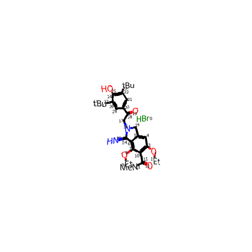 Br.CCOc1cc2c(c(OCC)c1C(=O)NC)C(=N)N(CC(=O)c1cc(C(C)(C)C)c(O)c(C(C)(C)C)c1)C2